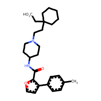 Cc1ccc(-c2ccoc2C(=O)NC2CCN(CCC3(CC(=O)O)CCCCC3)CC2)cc1